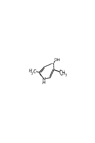 CC1=C[C@@H](O)C(C)=CN1